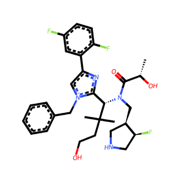 C[C@H](O)C(=O)N(C[C@@H]1CNC[C@@H]1F)[C@@H](c1nc(-c2cc(F)ccc2F)cn1Cc1ccccc1)C(C)(C)CCO